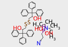 CC(C)N(C(C)C)[PH](O)(O)CCC#N.OC(CSSCC(O)C(c1ccccc1)(c1ccccc1)c1ccccc1)C(c1ccccc1)(c1ccccc1)c1ccccc1